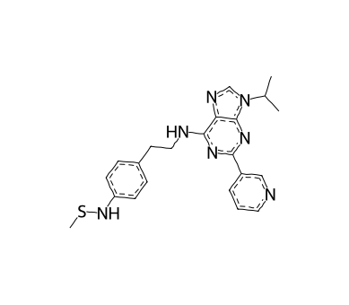 CSNc1ccc(CCNc2nc(-c3cccnc3)nc3c2ncn3C(C)C)cc1